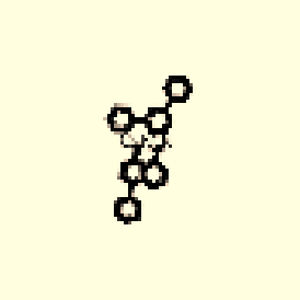 O=c1c2ccc(-c3ccccc3)c3cccc(c32)c2nc3cc(-c4ccccc4)cc(-c4ccccc4)c3n12